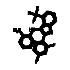 Cc1cccc(C)c1Nc1c(-c2ccc(F)cc2F)nc2cccc(C(F)(F)F)n12